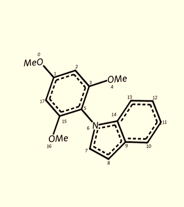 COc1cc(OC)c(-n2ccc3c[c]ccc32)c(OC)c1